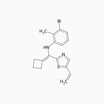 C=Cc1cnc(C(Nc2cccc(Br)c2C)=C2CCC2)s1